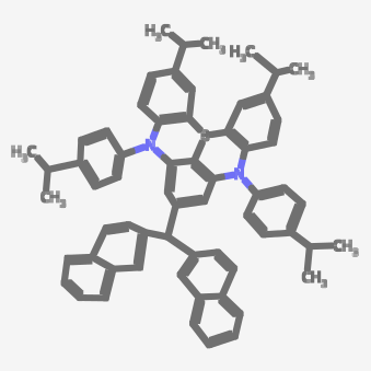 CC(C)c1ccc(N2c3ccc(C(C)C)cc3B3c4cc(C(C)C)ccc4N(c4ccc(C(C)C)cc4)c4cc(C(c5ccc6ccccc6c5)c5ccc6ccccc6c5)cc2c43)cc1